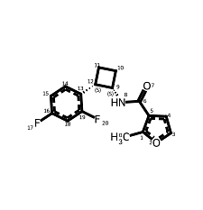 Cc1occc1C(=O)N[C@H]1CC[C@H]1c1ccc(F)cc1F